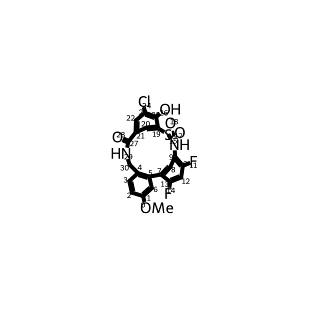 COc1ccc2c(c1)-c1cc(c(F)cc1F)NS(=O)(=O)c1cc(cc(Cl)c1O)C(=O)NC2